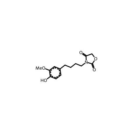 COc1cc(CCCCN2C(=O)COC2=O)ccc1O